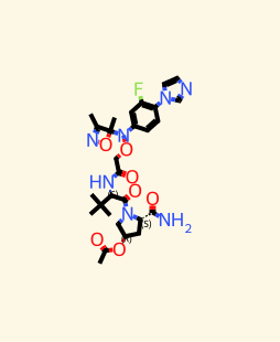 CC(=O)O[C@@H]1C[C@@H](C(N)=O)N(C(=O)[C@@H](NC(=O)CON(c2ccc(-n3ccnc3)c(F)c2)C2(C)ON=C2C)C(C)(C)C)C1